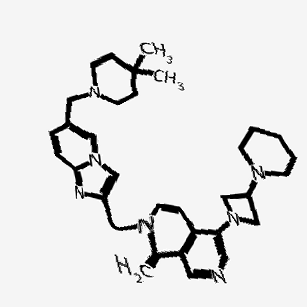 C=C1c2cncc(N3CC(N4CCCCC4)C3)c2C=CN1Cc1cn2cc(CN3CCC(C)(C)CC3)ccc2n1